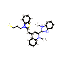 CN1C(C2Nc3ccccc3N2C)=C/C(=C\c2sc3ccccc3[n+]2CCCS)c2ccccc21